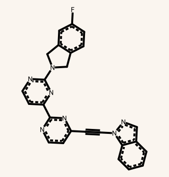 Fc1ccc2c(c1)CN(c1nccc(-c3nccc(C#Cn4ncc5ccccc54)n3)n1)C2